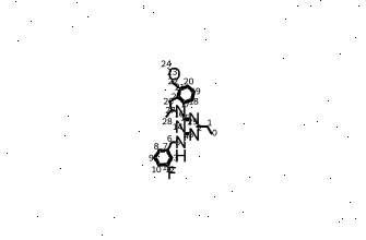 CCc1nc(NCc2cccc(F)c2)nc(N2c3cccc(COC)c3CC2C)n1